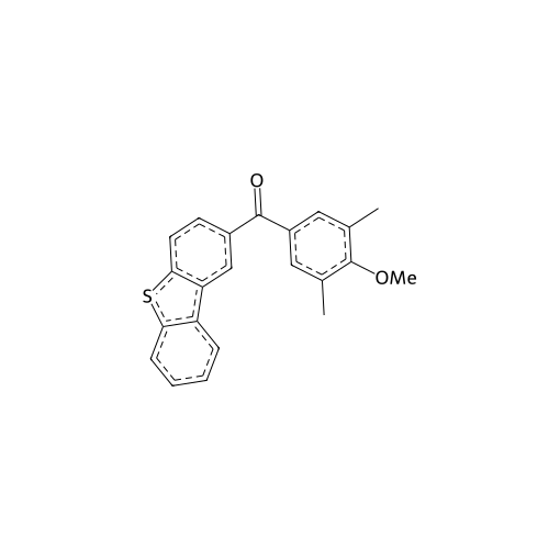 COc1c(C)cc(C(=O)c2ccc3sc4ccccc4c3c2)cc1C